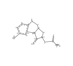 NC(=S)CN1CC2CSc3ccc(Cl)cc3N2C1=S